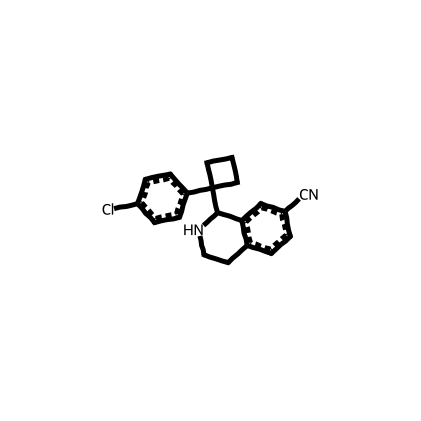 N#Cc1ccc2c(c1)C(C1(c3ccc(Cl)cc3)CCC1)NCC2